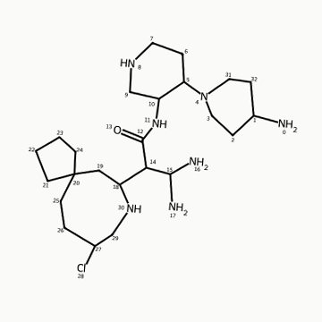 NC1CCN(C2CCNCC2NC(=O)C(C(N)N)C2CC3(CCCC3)CCC(Cl)CN2)CC1